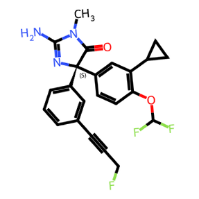 CN1C(=O)[C@](c2cccc(C#CCF)c2)(c2ccc(OC(F)F)c(C3CC3)c2)N=C1N